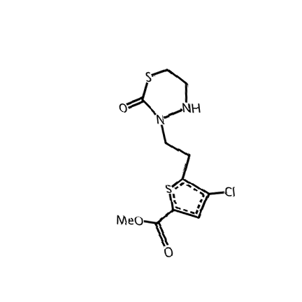 COC(=O)c1cc(Cl)c(CCN2NCCSC2=O)s1